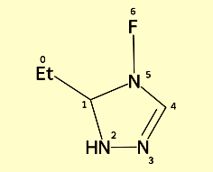 CCC1NN=CN1F